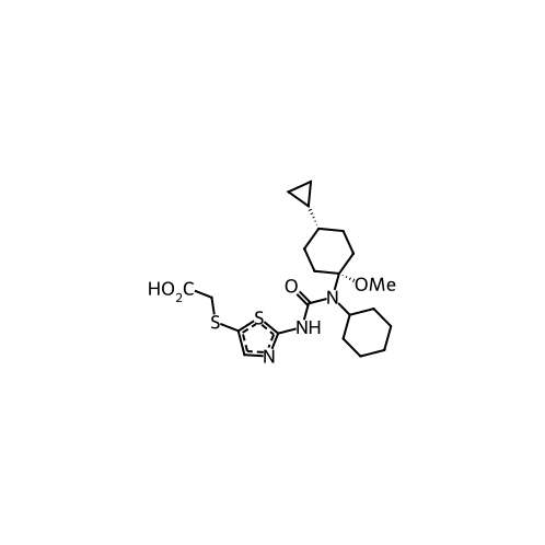 CO[C@]1(N(C(=O)Nc2ncc(SCC(=O)O)s2)C2CCCCC2)CC[C@H](C2CC2)CC1